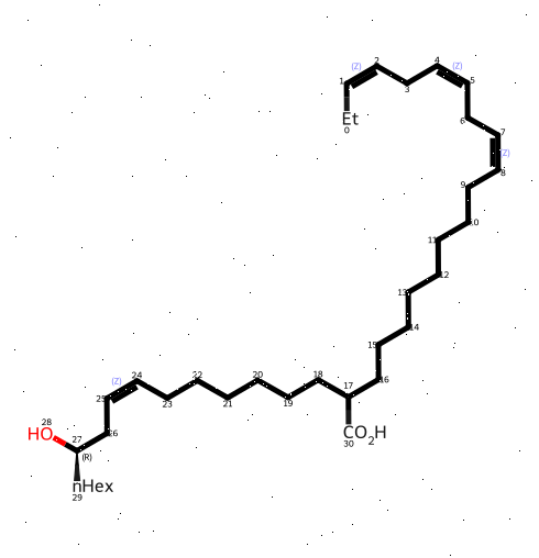 CC/C=C\C/C=C\C/C=C\CCCCCCCCC(CCCCCC/C=C\C[C@H](O)CCCCCC)C(=O)O